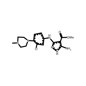 COC(=O)c1c(Nc2ccc(N3CCN(C)CC3)c(Cl)c2)n[nH]c1N